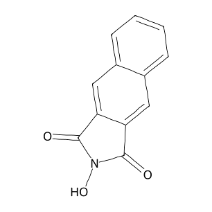 O=C1c2cc3ccccc3cc2C(=O)N1O